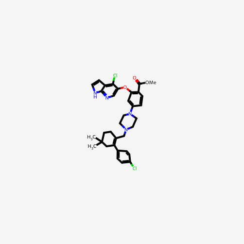 COC(=O)c1ccc(N2CCN(CC3=C(c4ccc(Cl)cc4)CC(C)(C)CC3)CC2)cc1Oc1cnc2[nH]ccc2c1Cl